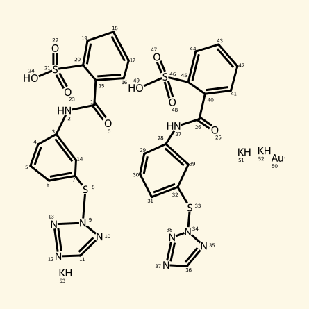 O=C(Nc1cccc(Sn2ncnn2)c1)c1ccccc1S(=O)(=O)O.O=C(Nc1cccc(Sn2ncnn2)c1)c1ccccc1S(=O)(=O)O.[Au].[KH].[KH].[KH]